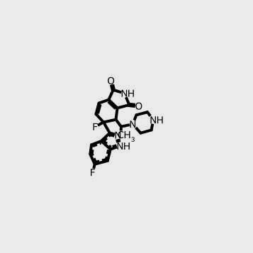 CC(C1C2=C(C=CC1(F)c1n[nH]c3cc(F)ccc13)C(=O)NC2=O)N1CCNCC1